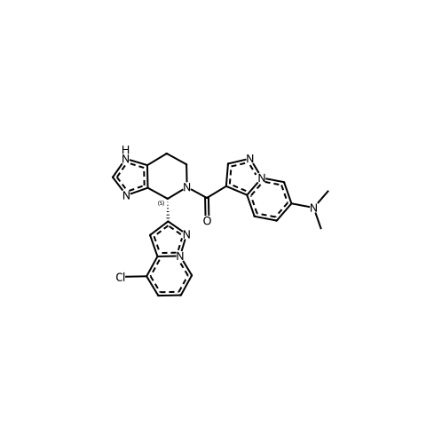 CN(C)c1ccc2c(C(=O)N3CCc4[nH]cnc4[C@H]3c3cc4c(Cl)cccn4n3)cnn2c1